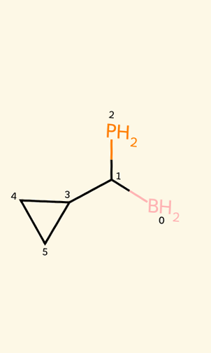 BC(P)C1CC1